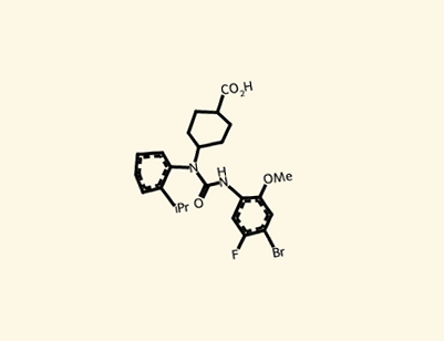 COc1cc(Br)c(F)cc1NC(=O)N(c1ccccc1C(C)C)C1CCC(C(=O)O)CC1